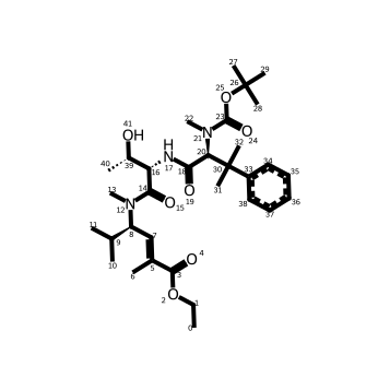 CCOC(=O)/C(C)=C/[C@@H](C(C)C)N(C)C(=O)[C@@H](NC(=O)[C@@H](N(C)C(=O)OC(C)(C)C)C(C)(C)c1ccccc1)[C@H](C)O